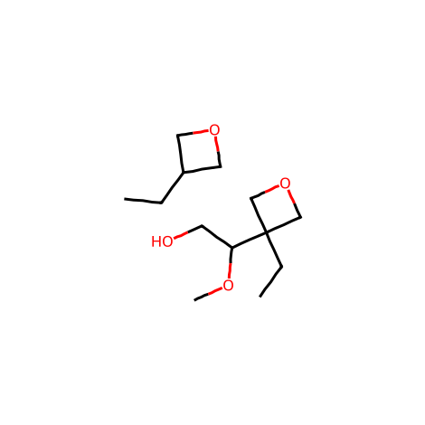 CCC1(C(CO)OC)COC1.CCC1COC1